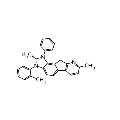 Cc1ccc2c(n1)Cc1c-2ccc2c1N(c1ccccc1)[C@H](C)N2c1ccccc1C